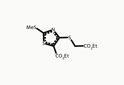 CCOC(=O)CSc1nc(SC)sc1C(=O)OCC